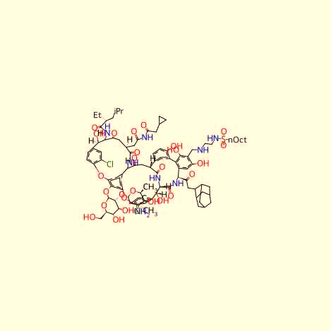 CCCCCCCCS(=O)(=O)NCCNCc1c(O)cc2c(c1O)-c1cc(ccc1O)[C@H]1CC(=O)[C@@H]3NC(=O)[C@H](CC(=O)NC(=O)CC4CC4)CC(=O)[C@H](NC(=O)[C@H](CC)CC(C)C)[C@H](O)c4ccc(c(Cl)c4)Oc4cc3cc(c4O[C@@H]3O[C@H](CO)[C@@H](O)[C@H](O)[C@H]3O[C@H]3C[C@](C)(N)[C@H](O)[C@H](C)O3)Oc3ccc(cc3Cl)[C@@H](O)[C@H](NC1=O)C(=O)N[C@@H]2C(=O)CC1C2CC3CC(C2)CC1C3